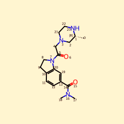 C[C@@H]1CN(CC(=O)N2CCc3ccc(C(=O)N(C)C)cc32)CCN1